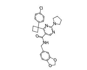 O=C(NCc1ccc2c(c1)OCO2)c1cnc(N2CCCC2)nc1C1(c2ccc(Cl)cc2)CCC1